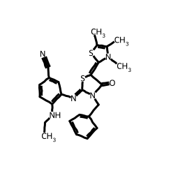 CCNc1ccc(C#N)cc1N=C1SC(=C2SC(C)=C(C)N2C)C(=O)N1Cc1ccccc1